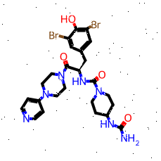 NC(=O)NC1CCN(C(=O)N[C@H](Cc2cc(Br)c(O)c(Br)c2)C(=O)N2CCN(c3ccncc3)CC2)CC1